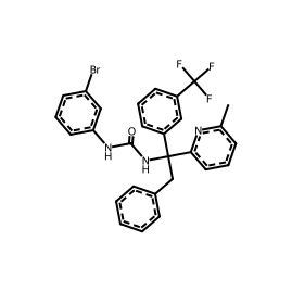 Cc1cccc(C(Cc2ccccc2)(NC(=O)Nc2cccc(Br)c2)c2cccc(C(F)(F)F)c2)n1